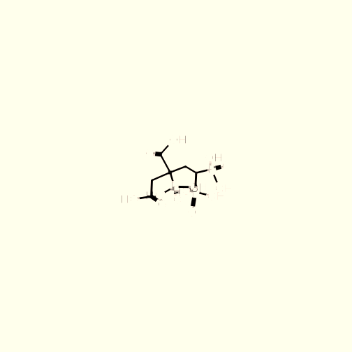 O=C(O)CC(CC(P(=O)(O)O)P(=O)(O)O)(C(=O)O)P(=O)(O)O